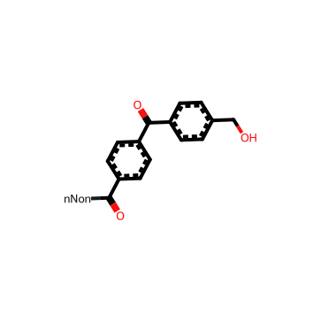 CCCCCCCCCC(=O)c1ccc(C(=O)c2ccc(CO)cc2)cc1